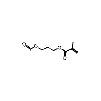 C=C(C)C(=O)OCCCO[C]=O